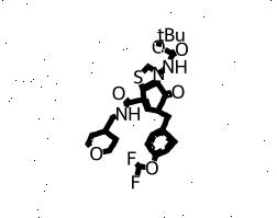 CC(C)(C)OC(=O)NN1CSC2=C1C(=O)C(Cc1ccc(OC(F)F)cc1)C=C2C(=O)NCC1CCOCC1